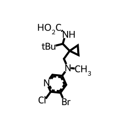 CN(CC1(C(NC(=O)O)C(C)(C)C)CC1)c1cnc(Cl)c(Br)c1